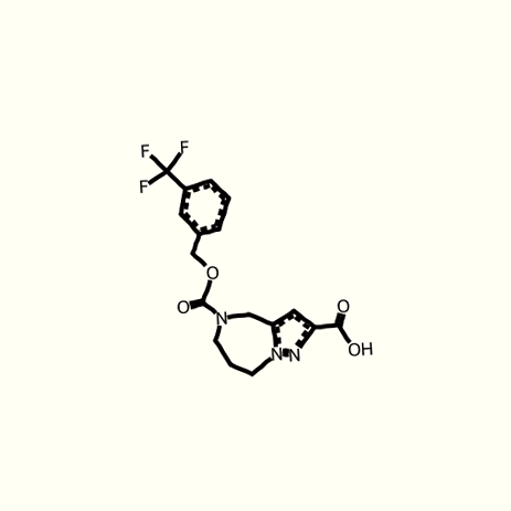 O=C(O)c1cc2n(n1)CCCN(C(=O)OCc1cccc(C(F)(F)F)c1)C2